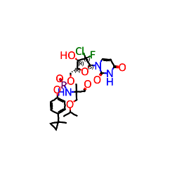 CC(C)OCC(C)(C=O)NP(=O)(OC[C@H]1O[C@H](n2ccc(=O)[nH]c2=O)[C@@](F)(Cl)[C@@H]1O)Oc1ccc(C2(C)CC2)cc1